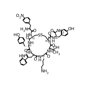 C[C@@H](O)[C@@H]1NC(=O)[C@H](CCCCN)NC(=O)[C@@H](Cc2c[nH]c3ccccc23)NC(=O)[C@H](Cc2ccc(O)cc2)NC(=O)[C@H](NC(=O)[C@@H](N)Cc2ccc([N+](=O)[O-])cc2)CSSC[C@@H](C(=O)N[C@H](Cc2ccc(O)cc2)C(N)=O)NC1=O